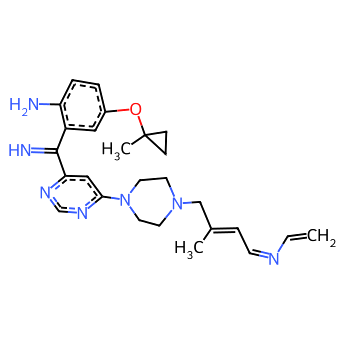 C=C/N=C\C=C(/C)CN1CCN(c2cc(C(=N)c3cc(OC4(C)CC4)ccc3N)ncn2)CC1